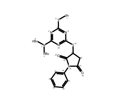 CCCCN(CCCC)c1nc(SC(C)C)nc(SC2CC(=O)N(c3ccccc3)C2=O)n1